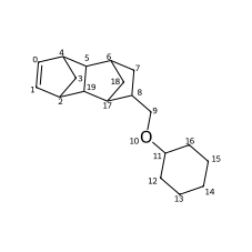 C1=CC2CC1C1C3CC(COC4CCCCC4)C(C3)C21